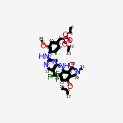 CCOP(=O)(Cc1ccc(Nc2ncc(C(F)(F)F)c(Nc3ccc(OC(C)C)c4c3C(=O)N(C)C4)n2)c(OC)c1)OCC